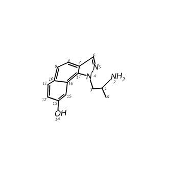 CC(N)Cn1ncc2ccc3ccc(O)cc3c21